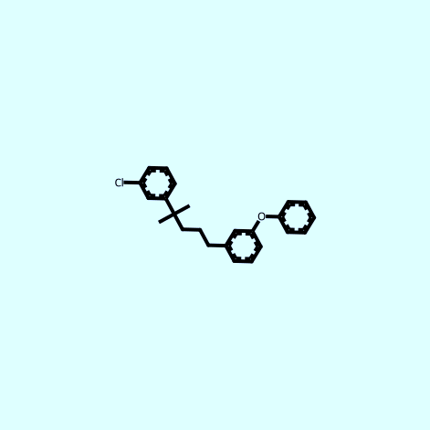 CC(C)(CCCc1cccc(Oc2ccccc2)c1)c1cccc(Cl)c1